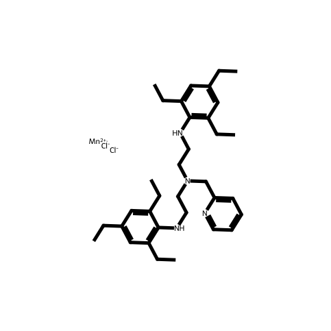 CCc1cc(CC)c(NCCN(CCNc2c(CC)cc(CC)cc2CC)Cc2ccccn2)c(CC)c1.[Cl-].[Cl-].[Mn+2]